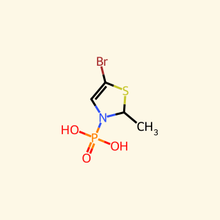 CC1SC(Br)=CN1P(=O)(O)O